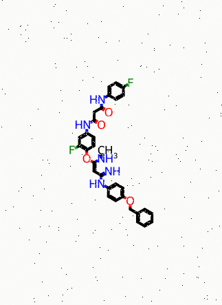 CN/C(=C\C(=N)Nc1ccc(OCc2ccccc2)cc1)Oc1ccc(NC(=O)CC(=O)Nc2ccc(F)cc2)cc1F